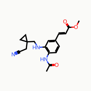 COC(=O)/C=C/c1ccc(NC(C)=O)c(NCC2(CC#N)CC2)c1